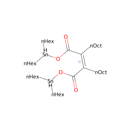 CCCCCCCC/C(C(=O)[O][SnH]([CH2]CCCCC)[CH2]CCCCC)=C(\CCCCCCCC)C(=O)[O][SnH]([CH2]CCCCC)[CH2]CCCCC